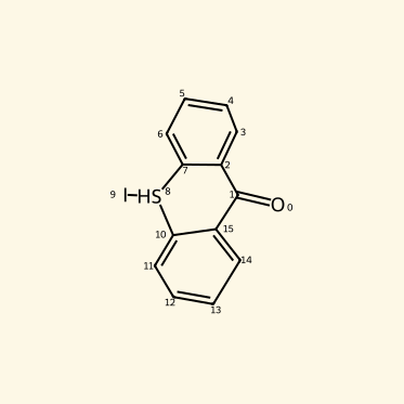 O=C1c2ccccc2[SH](I)c2ccccc21